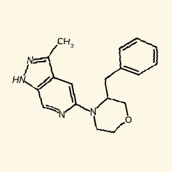 Cc1n[nH]c2cnc(N3CCOCC3Cc3ccccc3)cc12